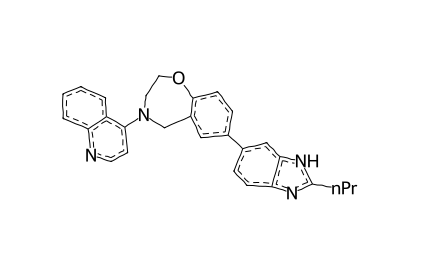 CCCc1nc2ccc(-c3ccc4c(c3)CN(c3ccnc5ccccc35)CCO4)cc2[nH]1